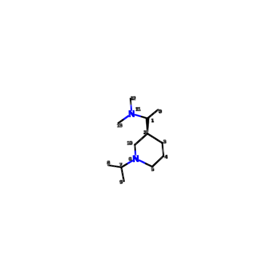 CC([C@H]1CCCN(C(C)C)C1)N(C)C